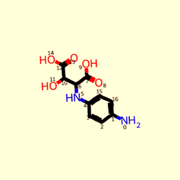 Nc1ccc(NC(C(=O)O)C(O)C(=O)O)cc1